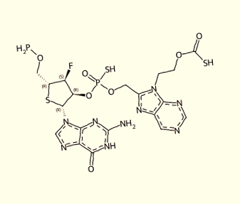 Nc1nc2c(ncn2[C@@H]2S[C@H](COP)[C@@H](F)[C@H]2OP(=O)(S)OCc2nc3cncnc3n2CCOC(=O)S)c(=O)[nH]1